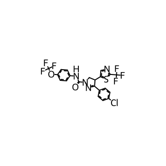 O=C(Nc1ccc(OC(F)(F)F)cc1)N1CC(c2cnc(C(F)(F)F)s2)C(c2ccc(Cl)cc2)=N1